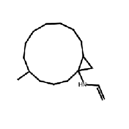 C=CNC12CCCC(C)CCCCCCCC1C2